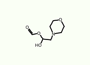 O=COC(O)CN1CCOCC1